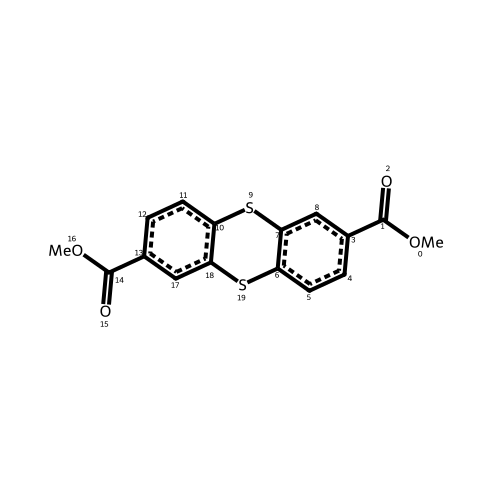 COC(=O)c1ccc2c(c1)Sc1ccc(C(=O)OC)cc1S2